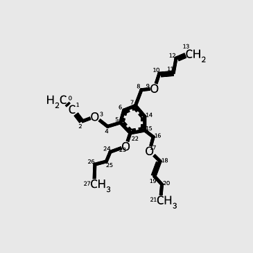 C=C=COCc1cc(COC=CC=C)cc(COC=CCC)c1OCCCC